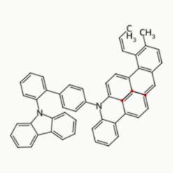 C/C=C\c1c(C)ccc2c1C1=CC=C(N(c3ccc(-c4ccccc4-n4c5ccccc5c5ccccc54)cc3)c3ccccc3-c3ccccc3)CC1C=C2